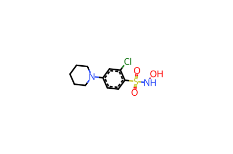 O=S(=O)(NO)c1ccc(N2CCCCC2)cc1Cl